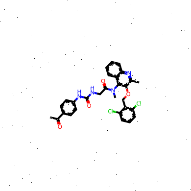 CC(=O)c1ccc(NC(=O)NCC(=O)N(C)c2c(OCc3c(Cl)cccc3Cl)c(C)nc3ccccc23)cc1